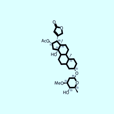 CO[C@H]1C[C@H](O[C@H]2CC[C@@]3(C)C(CCC4C3CC[C@]3(C)[C@@H](C5=CC(=O)OC5)[C@@H](OC(C)=O)C[C@]43O)C2)O[C@@H](C)[C@@H]1O